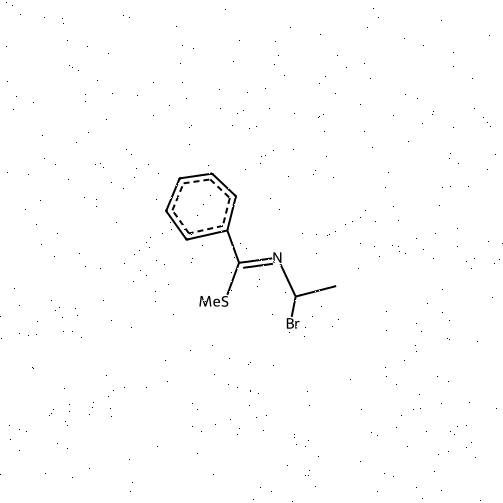 CS/C(=N\C(C)Br)c1ccccc1